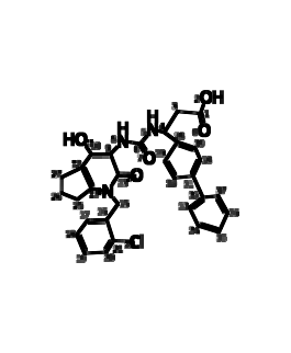 O=C(O)CC(NC(=O)Nc1c(O)c2c(n(Cc3ccccc3Cl)c1=O)CCC2)c1ccc(-c2ccccc2)cc1